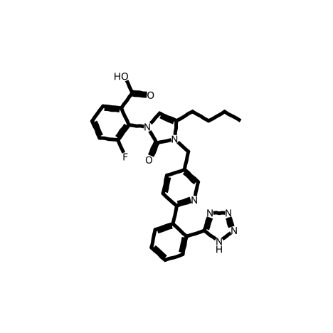 CCCCc1cn(-c2c(F)cccc2C(=O)O)c(=O)n1Cc1ccc(-c2ccccc2-c2nnn[nH]2)nc1